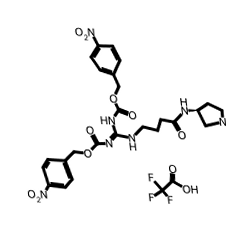 O=C(CCCNC(=NC(=O)OCc1ccc([N+](=O)[O-])cc1)NC(=O)OCc1ccc([N+](=O)[O-])cc1)N[C@H]1CCNC1.O=C(O)C(F)(F)F